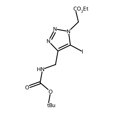 CCOC(=O)Cn1nnc(CNC(=O)OC(C)(C)C)c1I